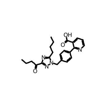 CCCCc1nc(C(=O)CCC)nn1Cc1ccc(-c2ncccc2C(=O)O)cc1